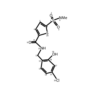 CNS(=O)(=O)c1ccc(C(=O)NCc2ccc(Cl)cc2O)s1